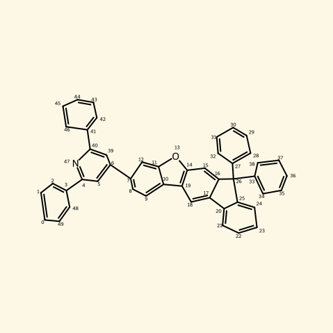 c1ccc(-c2cc(-c3ccc4c(c3)oc3cc5c(cc34)-c3ccccc3C5(c3ccccc3)c3ccccc3)cc(-c3ccccc3)n2)cc1